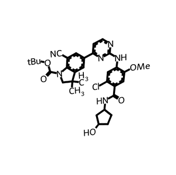 COc1cc(C(=O)NC2CCC(O)C2)c(Cl)cc1Nc1nccc(-c2cc(C#N)c3c(c2)C(C)(C)CN3C(=O)OC(C)(C)C)n1